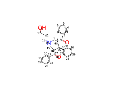 O=C(c1ccccc1)[C@H]1CN(CCCO)C[C@@H](C(=O)c2ccccc2)[C@@H]1c1ccccc1